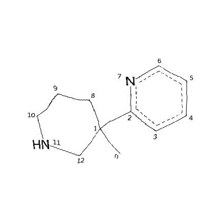 CC1(c2ccccn2)CCCNC1